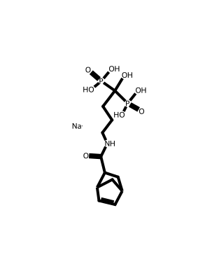 O=C(NCCCC(O)(P(=O)(O)O)P(=O)(O)O)C1CC2C=CC1C2.[Na]